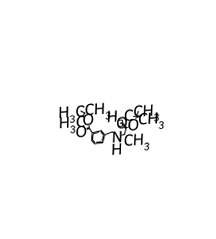 CC(NCc1cccc(C(=O)OC(C)(C)C)c1)C(=O)OC(C)(C)C